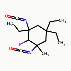 CCC1(CC)CC(C)(N=C=O)C(I)C(CC)(N=C=O)C1